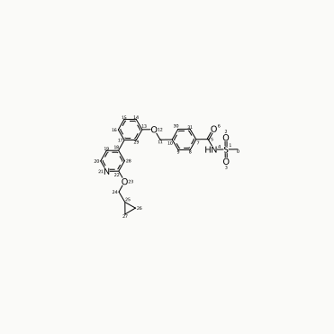 CS(=O)(=O)NC(=O)c1ccc(COc2cccc(-c3ccnc(OCC4CC4)c3)c2)cc1